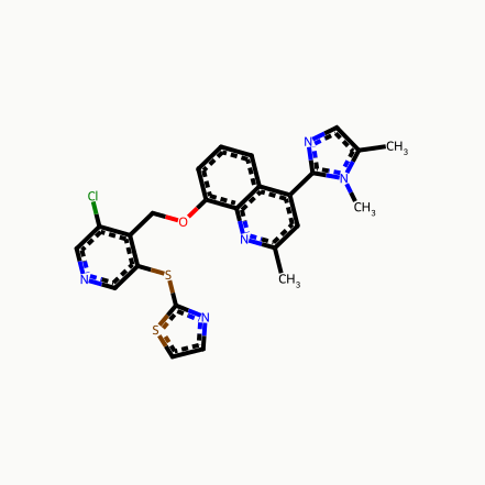 Cc1cc(-c2ncc(C)n2C)c2cccc(OCc3c(Cl)cncc3Sc3nccs3)c2n1